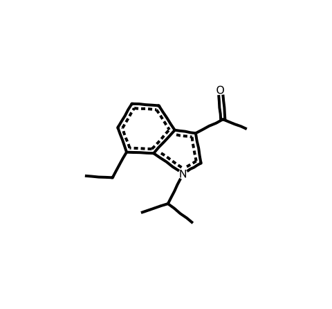 CCc1cccc2c(C(C)=O)cn(C(C)C)c12